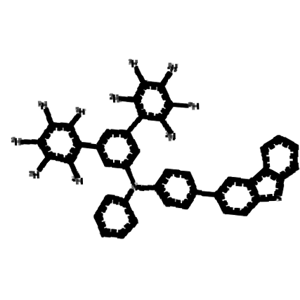 [2H]c1c([2H])c([2H])c(-c2cc(-c3c([2H])c([2H])c([2H])c([2H])c3[2H])cc(N(c3ccccc3)c3ccc(-c4ccc5sc6ccccc6c5c4)cc3)c2)c([2H])c1[2H]